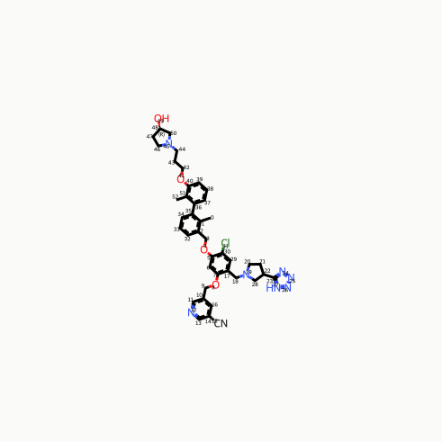 Cc1c(COc2cc(OCc3cncc(C#N)c3)c(CN3CCC(c4nnn[nH]4)C3)cc2Cl)cccc1-c1cccc(OCCCN2CC[C@@H](O)C2)c1C